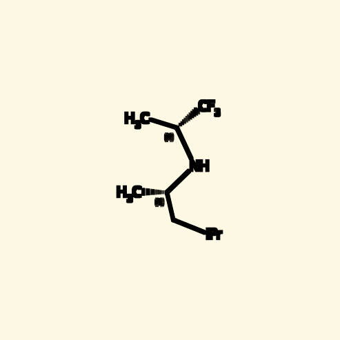 CC(C)C[C@H](C)N[C@H](C)C(F)(F)F